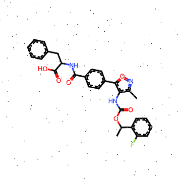 Cc1noc(-c2ccc(C(=O)NC(Cc3ccccc3)C(=O)O)cc2)c1NC(=O)OC(C)c1ccccc1F